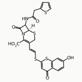 O=C(Cc1cccs1)NC1C(=O)N2C(C(=O)O)=C(/C=C/Sc3cc(=O)c4ccc(O)cc4s3)CS[C@H]12